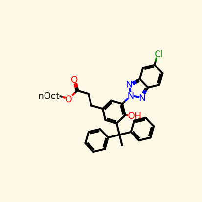 CCCCCCCCOC(=O)CCc1cc(-n2nc3ccc(Cl)cc3n2)c(O)c(C(C)(c2ccccc2)c2ccccc2)c1